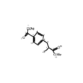 COC(=O)c1ccc(CC(F)C(=O)OC)cc1